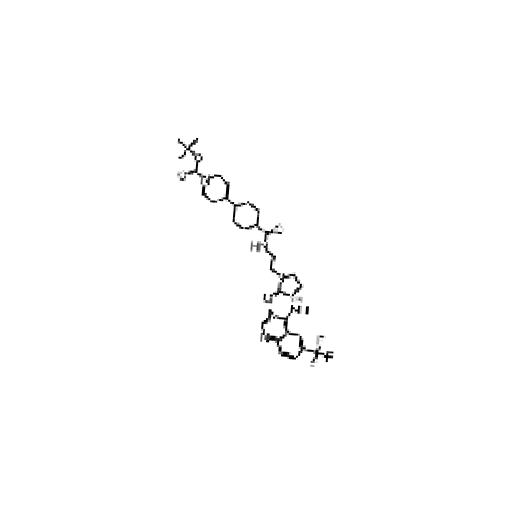 CC(C)(C)OC(=O)N1CCC(C2CCC(C(=O)NCCN3CC[C@H](Nc4ncnc5ccc(C(F)(F)F)cc45)C3=O)CC2)CC1